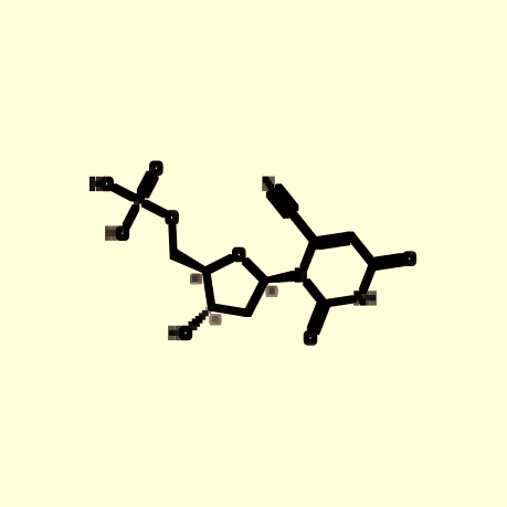 N#Cc1cc(=O)[nH]c(=O)n1[C@H]1C[C@H](O)[C@@H](COP(=O)(O)O)O1